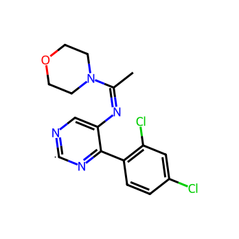 C/C(=N/c1cn[c]nc1-c1ccc(Cl)cc1Cl)N1CCOCC1